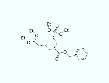 CCOC(CCCN(CCP(=O)(OCC)OCC)C(=O)OCc1ccccc1)OCC